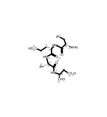 CC(=O)N[C@@H](CC(C)C)C(=O)N[C@@H](CCC(=O)O)C(=O)N[C@H](C(=O)N[C@H](C=O)CC(=O)O)C(C)C